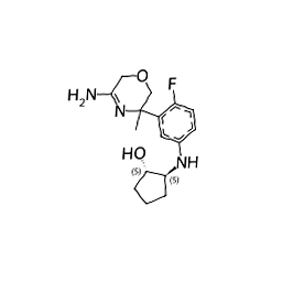 CC1(c2cc(N[C@H]3CCC[C@@H]3O)ccc2F)COCC(N)=N1